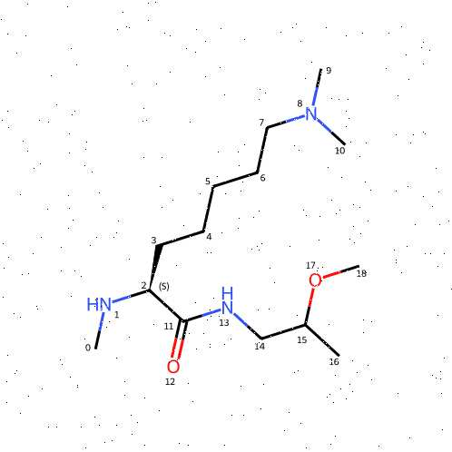 CN[C@@H](CCCCCN(C)C)C(=O)NCC(C)OC